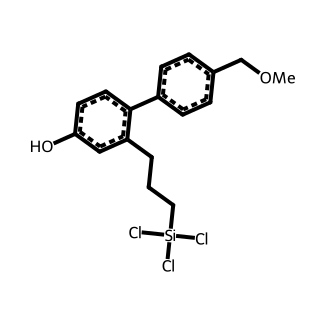 COCc1ccc(-c2ccc(O)cc2CCC[Si](Cl)(Cl)Cl)cc1